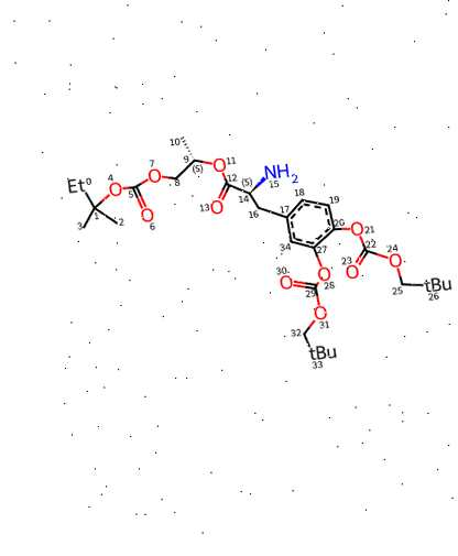 CCC(C)(C)OC(=O)OC[C@H](C)OC(=O)[C@@H](N)Cc1ccc(OC(=O)OCC(C)(C)C)c(OC(=O)OCC(C)(C)C)c1